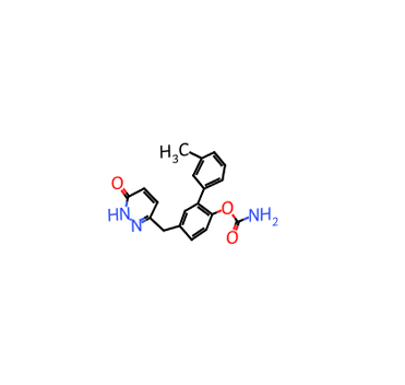 Cc1cccc(-c2cc(Cc3ccc(=O)[nH]n3)ccc2OC(N)=O)c1